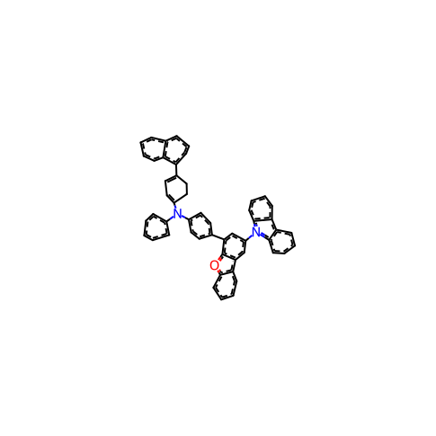 C1=C(c2cccc3ccccc23)CCC(N(c2ccccc2)c2ccc(-c3cc(-n4c5ccccc5c5ccccc54)cc4c3oc3ccccc34)cc2)=C1